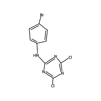 Clc1nc(Cl)nc(Nc2ccc(Br)cc2)n1